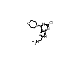 NCc1nc2nc(Cl)nc(N3CCOCC3)c2s1